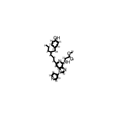 CCCC(CCCc1cc2c(ncn2-c2ccncc2)c(NCC(=O)OC)n1)Cc1ccc(O)cc1